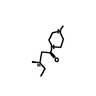 CC[C@@H](C)CC(=O)N1CCN(C)CC1